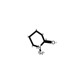 [2H]N1CCCCC1=O